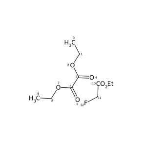 CCOC(=O)C(=O)OCC.CCOC(=O)CF